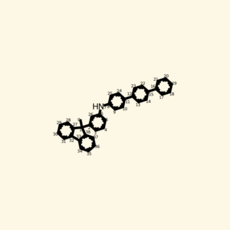 CC1(c2cccc(Nc3ccc(-c4ccc(-c5ccccc5)cc4)cc3)c2)c2ccccc2-c2ccccc21